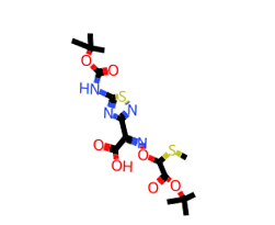 CSC(ON=C(C(=O)O)c1nsc(NC(=O)OC(C)(C)C)n1)C(=O)OC(C)(C)C